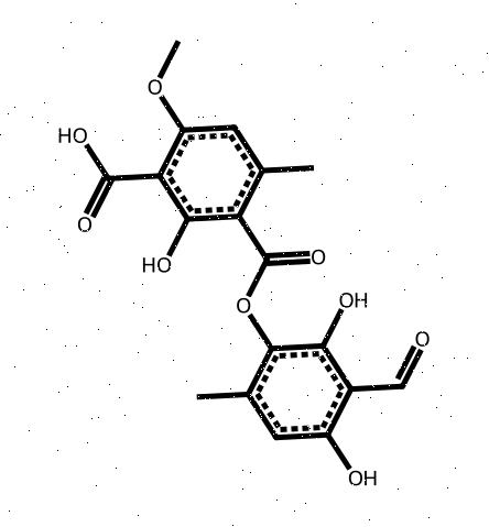 COc1cc(C)c(C(=O)Oc2c(C)cc(O)c(C=O)c2O)c(O)c1C(=O)O